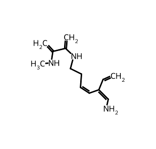 C=CC(/C=C\CCNC(=C)C(=C)NC)=C/N